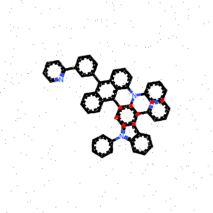 c1ccc(N(c2ccc3c(c2)c2ccccc2n3-c2ccccc2)c2cccc3c(-c4cccc(-c5ccccn5)c4)c4ccccc4c(-c4cccc(-c5ccccn5)c4)c23)cc1